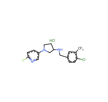 Cl.Fc1ccc(N2CCC(NCc3ccc(Cl)c(C(F)(F)F)c3)C2)cn1